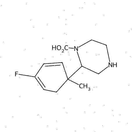 CC1(C2CNCCN2C(=O)O)C=CC(F)=CC1